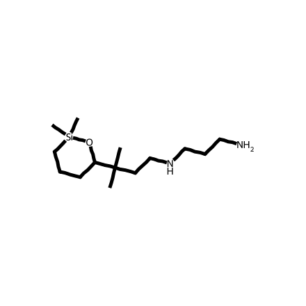 CC(C)(CCNCCCN)C1CCC[Si](C)(C)O1